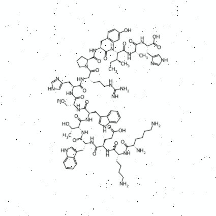 CC[C@H](C)[C@H](NC(=O)[C@H](Cc1ccc(O)cc1)NC(=O)[C@@H]1CCCN1C(=O)[C@H](CCCNC(=N)N)NC(=O)[C@H](Cc1c[nH]cn1)NC(=O)[C@@H](CO)NC(=O)[C@@H](Cc1c[nH]c2ccccc12)NC(=O)[C@H](NC(=O)[C@@H](Cc1c[nH]c2ccccc12)NC(=O)[C@@H](CCC(=O)O)NC(=O)[C@@H](CCCCN)NC(=O)[C@@H](N)CCCCN)[C@H](C)O)C(=O)N[C@@H](C)C(=O)N[C@@H](Cc1c[nH]cn1)C(=O)O